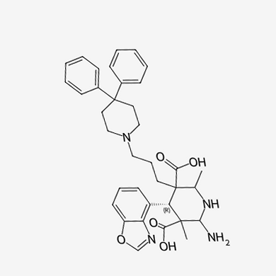 CC1NC(N)C(C)(C(=O)O)[C@H](c2cccc3ocnc23)C1(CCCN1CCC(c2ccccc2)(c2ccccc2)CC1)C(=O)O